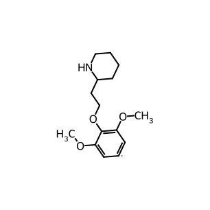 COc1c[c]cc(OC)c1OCCC1CCCCN1